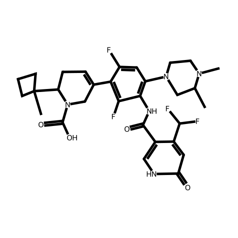 CC1CN(c2cc(F)c(C3=CCC(C4(C)CCC4)N(C(=O)O)C3)c(F)c2NC(=O)c2c[nH]c(=O)cc2C(F)F)CCN1C